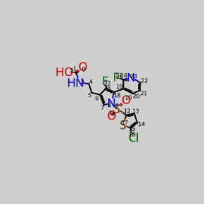 O=C(O)NCCc1cn(S(=O)(=O)c2ccc(Cl)s2)c(-c2cccnc2F)c1F